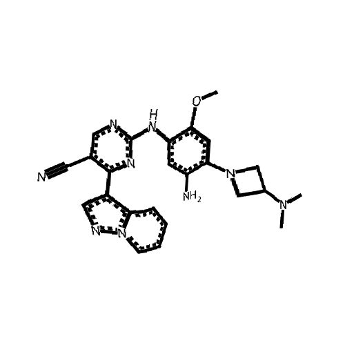 COc1cc(N2CC(N(C)C)C2)c(N)cc1Nc1ncc(C#N)c(-c2cnn3ccccc23)n1